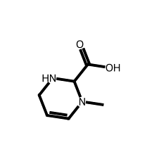 CN1C=CCNC1C(=O)O